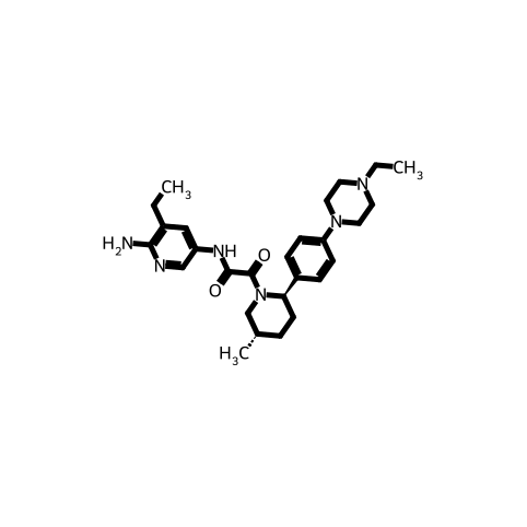 CCc1cc(NC(=O)C(=O)N2C[C@@H](C)CC[C@@H]2c2ccc(N3CCN(CC)CC3)cc2)cnc1N